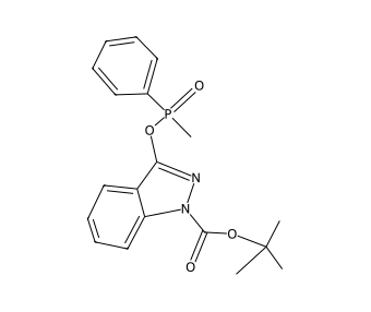 CC(C)(C)OC(=O)n1nc(OP(C)(=O)c2ccccc2)c2ccccc21